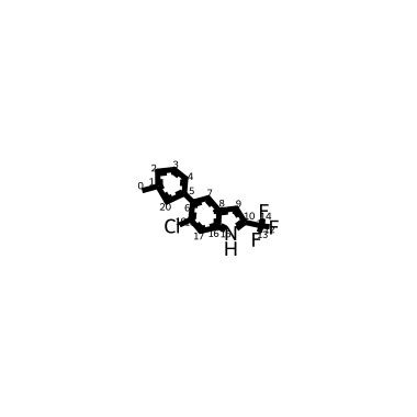 Cc1cccc(-c2cc3cc(C(F)(F)F)[nH]c3cc2Cl)c1